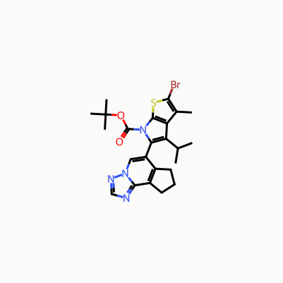 Cc1c(Br)sc2c1c(C(C)C)c(-c1cn3ncnc3c3c1CCC3)n2C(=O)OC(C)(C)C